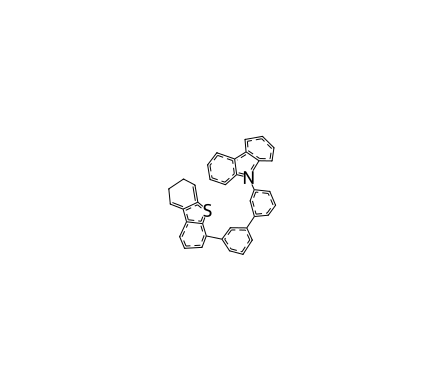 C1=c2sc3c(-c4cccc(-c5cccc(-n6c7ccccc7c7ccccc76)c5)c4)cccc3c2=CCC1